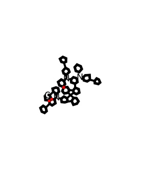 c1ccc(-c2ccc(N(c3ccccc3)c3cc(-c4cccc5c4-c4ccccc4C54c5ccccc5-c5ccc(N(c6ccc(-c7ccccc7)cc6)c6ccccc6-c6ccccc6)cc54)cc(N(c4ccccc4)c4ccc(-c5ccccc5)cc4)c3)cc2)cc1